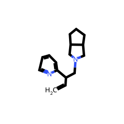 C=CC(CN1CC2CCCC2C1)c1ccccn1